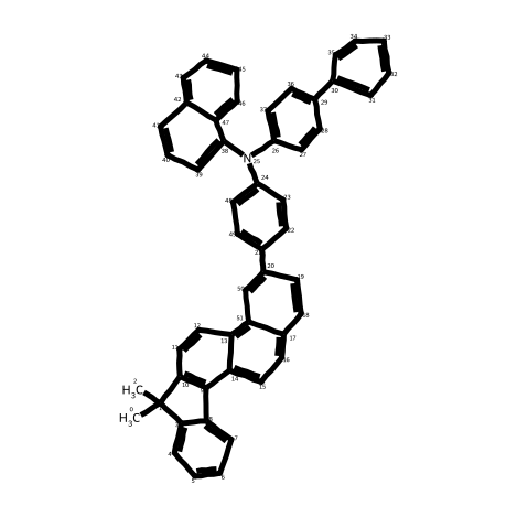 CC1(C)c2ccccc2-c2c1ccc1c2ccc2ccc(-c3ccc(N(c4ccc(-c5ccccc5)cc4)c4cccc5ccccc45)cc3)cc21